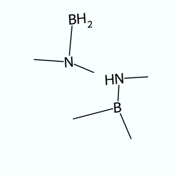 BN(C)C.CNB(C)C